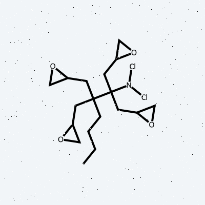 CCCCC(CC1CO1)(CC1CO1)C(CC1CO1)(CC1CO1)N(Cl)Cl